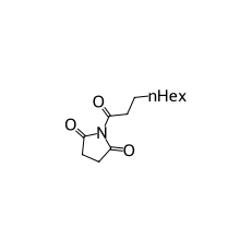 CCCCCCCCC(=O)N1C(=O)CCC1=O